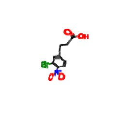 O=C(O)CCc1ccc([N+](=O)[O-])c(Br)c1